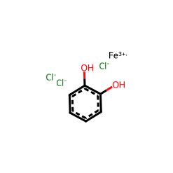 Oc1ccccc1O.[Cl-].[Cl-].[Cl-].[Fe+3]